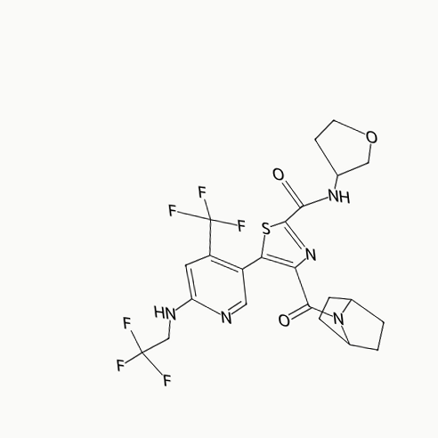 O=C(NC1CCOC1)c1nc(C(=O)N2C3CCC2CC3)c(-c2cnc(NCC(F)(F)F)cc2C(F)(F)F)s1